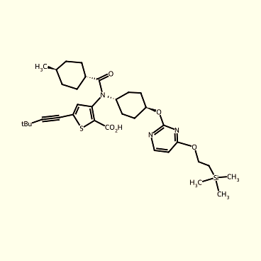 CC(C)(C)C#Cc1cc(N(C(=O)[C@H]2CC[C@H](C)CC2)[C@H]2CC[C@H](Oc3nccc(OCC[Si](C)(C)C)n3)CC2)c(C(=O)O)s1